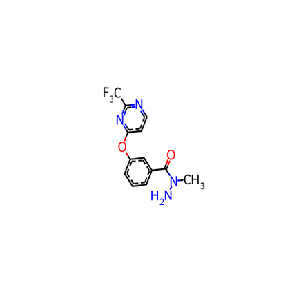 CN(N)C(=O)c1cccc(Oc2ccnc(C(F)(F)F)n2)c1